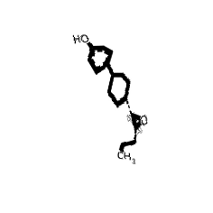 CCC[C@@H]1O[C@H]1C1CCC(c2ccc(O)cc2)CC1